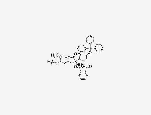 COC(CCCC(N)(C(=O)O)C(=O)C(CCOC(c1ccccc1)(c1ccccc1)c1ccccc1)N1C(=O)c2ccccc2C1=O)OC